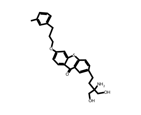 Cc1cccc(CCCOc2ccc3c(=O)c4cc(CCC(N)(CO)CO)ccc4sc3c2)c1